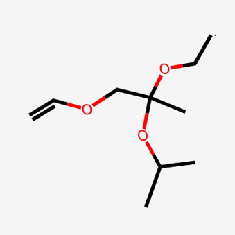 [CH2]COC(C)(COC=C)OC(C)C